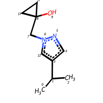 CC(C)c1cnn(CC2(O)CC2)c1